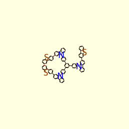 c1ccc2c(c1)sc1cc(-c3ccc4c5ccccc5n(-c5ccc(-c6cc(-c7ccc(-n8c9ccccc9c9ccc(-c%10ccc%11c(c%10)sc%10ccccc%10%11)cc98)cc7)cc(-c7ccc(-n8c9ccccc9c9ccc(-c%10ccc%11c(c%10)sc%10ccccc%10%11)cc98)cc7)c6)cc5)c4c3)ccc12